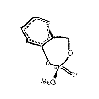 CO[P@]1(=O)OCc2ccccc2O1